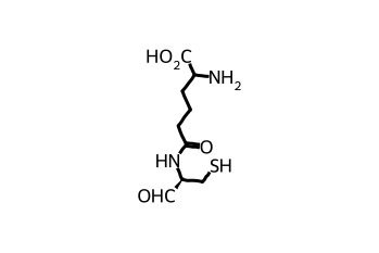 NC(CCCC(=O)N[C@H](C=O)CS)C(=O)O